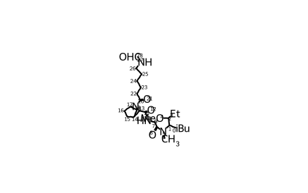 CCC(C)C(C(CC)OC)N(C)C(=O)CNC(=O)C1C2CCC(C2)N1C(=O)CCCCCNC=O